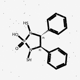 O=P1(O)N(S)[C@H](c2ccccc2)[C@@H](c2ccccc2)N1S